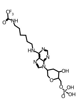 O=C(NCCCCCCNc1ncnc2c1ncn2C1COC(COP(=O)(O)O)C(O)C1)C(F)(F)F